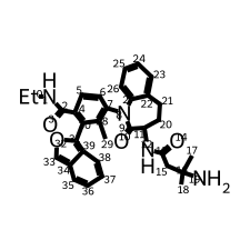 CCNC(=O)c1ccc(N2C(=O)C(NC(=O)CC(C)(C)N)CCc3ccccc32)c(C)c1-c1occ2ccccc12